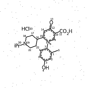 Cc1cc(O)ccc1-n1cc(C(=O)O)c(=O)cc1C1CCN(C(C)C)CC1.Cl